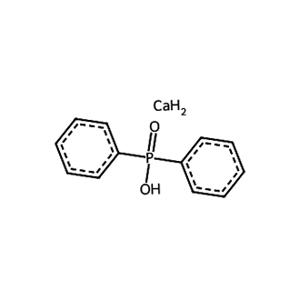 O=P(O)(c1ccccc1)c1ccccc1.[CaH2]